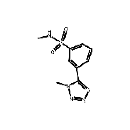 CNS(=O)(=O)c1cccc(-c2nnnn2C)c1